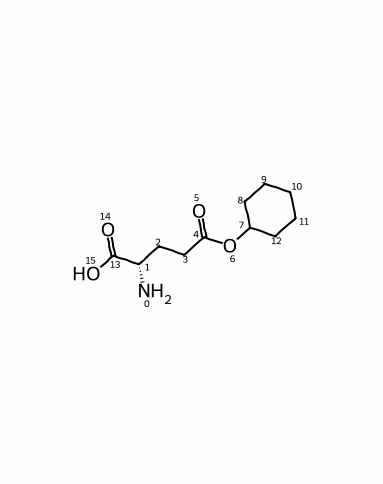 N[C@@H](CCC(=O)OC1CCCCC1)C(=O)O